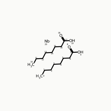 CCCCCCCC(=O)O.CCCCCCCC(=O)O.[Nb]